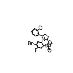 COc1ccccc1C1CCC(=O)N1c1cc(Br)c(F)cc1[N+](=O)[O-]